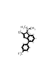 CCC1=Cc2c(-c3ccc(C(F)(F)F)cc3)cccc2[CH]1[Zr]([CH3])[CH3]